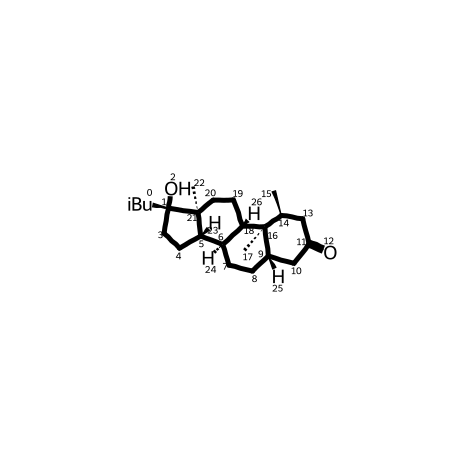 CCC(C)[C@]1(O)CC[C@H]2[C@@H]3CC[C@H]4CC(=O)C[C@H](C)[C@]4(C)[C@H]3CC[C@@]21C